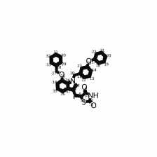 O=C1NC(=O)C(=Cc2cn(Cc3cccc(Oc4ccccc4)c3)c3c(OCc4ccccc4)cccc23)S1